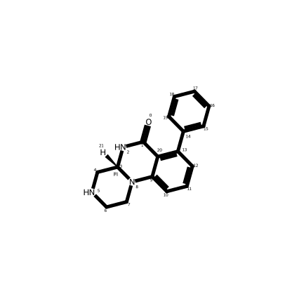 O=C1N[C@H]2CNCCN2c2cccc(-c3ccccc3)c21